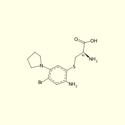 Nc1cc(Br)c(N2CCCC2)cc1SC[C@H](N)C(=O)O